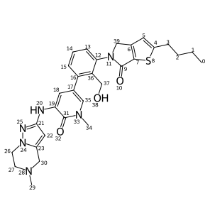 CCCCc1cc2c(s1)C(=O)N(c1cccc(-c3cc(Nc4cc5n(n4)CCN(C)C5)c(=O)n(C)c3)c1CO)C2